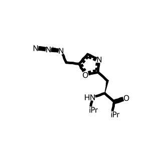 CC(C)N[C@@H](Cc1ncc(CN=[N+]=[N-])o1)C(=O)C(C)C